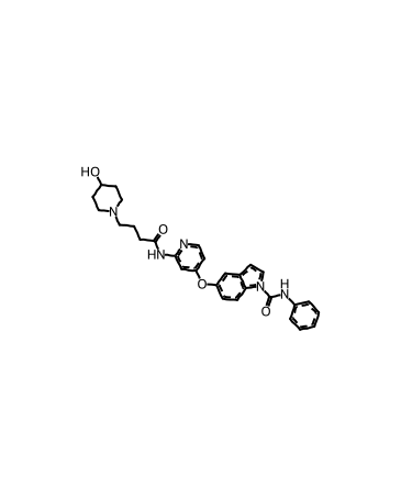 O=C(CCCN1CCC(O)CC1)Nc1cc(Oc2ccc3c(ccn3C(=O)Nc3ccccc3)c2)ccn1